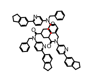 O=C(C1CC(C(=O)N(Cc2ccccc2)c2ccc(-c3ccc4c(c3)CCC4)nc2)CC(C(=O)N(Cc2ccccc2)c2ccc(-c3ccc4c(c3)CCC4)nc2)C1)N(Cc1ccccc1)c1ccc(-c2ccc3c(c2)CCC3)nc1